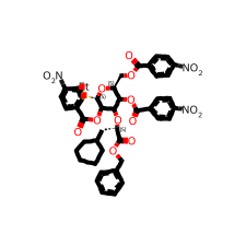 CCS[C@@H]1O[C@@H](COC(=O)c2ccc([N+](=O)[O-])cc2)C(OC(=O)c2ccc([N+](=O)[O-])cc2)C(O[C@@H](CC2CCCCC2)C(=O)OCc2ccccc2)C1OC(=O)c1ccc([N+](=O)[O-])cc1